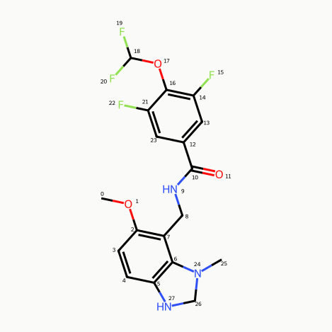 COc1ccc2c(c1CNC(=O)c1cc(F)c(OC(F)F)c(F)c1)N(C)CN2